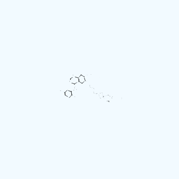 COc1cc2ncnc(Nc3cc(Cl)ccc3F)c2cc1OCCCN1CC2(C1)CN(C)C(=O)O2